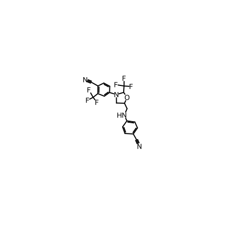 N#Cc1ccc(NCC2CN(c3ccc(C#N)c(C(F)(F)F)c3)C(C(F)(F)F)O2)cc1